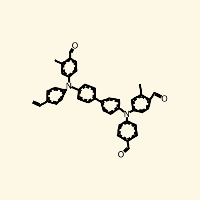 C=Cc1ccc(N(c2ccc(-c3ccc(N(c4ccc(C=O)cc4)c4ccc(C=O)c(C)c4)cc3)cc2)c2ccc(C=O)c(C)c2)cc1